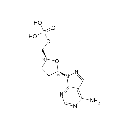 Nc1ncnc2c1cnn2[C@H]1CC[C@@H](COP(=O)(O)O)O1